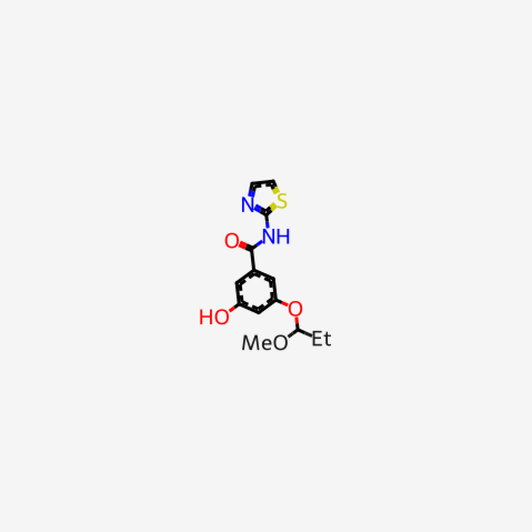 CCC(OC)Oc1cc(O)cc(C(=O)Nc2nccs2)c1